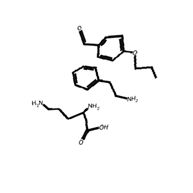 CCCOc1ccc(C=O)cc1.NCCCC(N)C(=O)O.NCCc1ccccc1